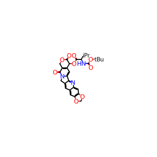 CC(C)C(NC(=O)OC(C)(C)C)C(=O)OC1C(=O)OCc2c1cc1n(c2=O)Cc2cc3cc4c(cc3nc2-1)OCO4